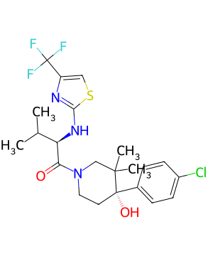 CC(C)[C@@H](Nc1nc(C(F)(F)F)cs1)C(=O)N1CC[C@](O)(c2ccc(Cl)cc2)C(C)(C)C1